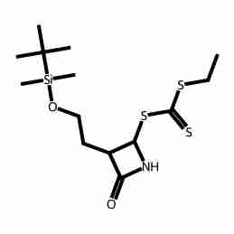 CCSC(=S)SC1NC(=O)C1CCO[Si](C)(C)C(C)(C)C